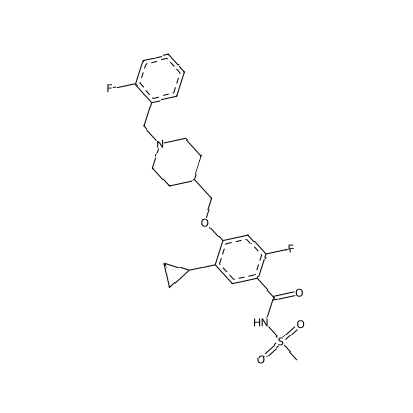 CS(=O)(=O)NC(=O)c1cc(C2CC2)c(OCC2CCN(Cc3ccccc3F)CC2)cc1F